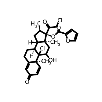 C[C@@H]1C[C@H]2[C@@H]3CCC4=CC(=O)C=C[C@]4(C)C3(Cl)C(O)C[C@]2(C)[C@@]1(OC(=O)c1ccco1)C(=O)CCl